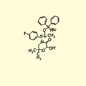 C[C@@H](O[Si](c1ccccc1)(c1ccccc1)C(C)(C)C)[C@@H](c1ccc(F)cc1)N1CC(C)(C)OC(O)C1=O